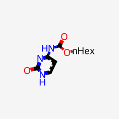 CCCCCCOC(=O)Nc1cc[nH]c(=O)n1